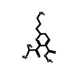 CCCCC1CC=C(C(=O)OC)C(C(=O)C(C)C)=N1